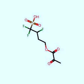 CC(=O)C(=O)OCCC(F)C(F)(F)S(=O)(=O)O